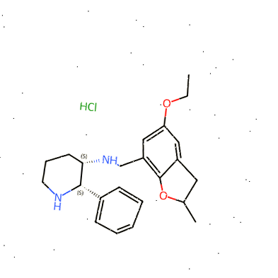 CCOc1cc(CN[C@H]2CCCN[C@H]2c2ccccc2)c2c(c1)CC(C)O2.Cl